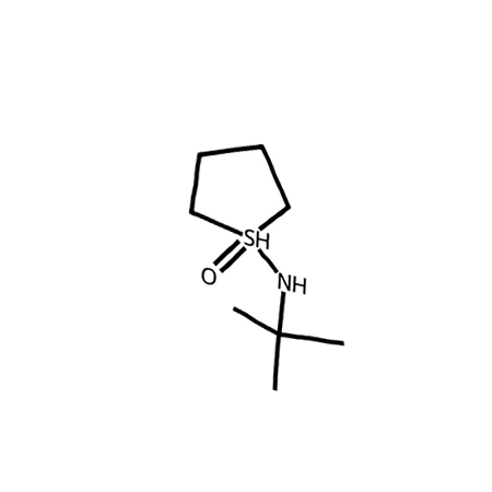 CC(C)(C)N[SH]1(=O)CCCC1